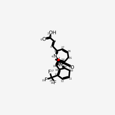 O=C(O)C=CC1=NC23N=C4CC=CC(C(F)(F)F)=C4C2=CCC(=O)C3CC=C1